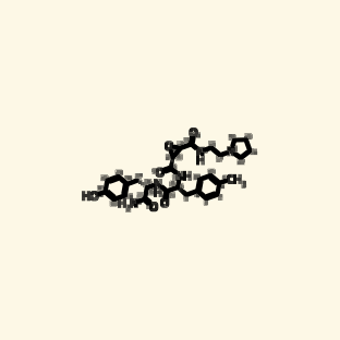 Cc1ccc(C[C@H](NC(=O)[C@H]2OC2C(=O)NCCN2CCCC2)C(=O)N[C@@H](Cc2ccc(O)cc2)C(N)=O)cc1